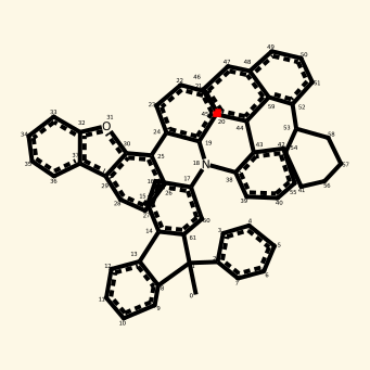 CC1(c2ccccc2)c2ccccc2-c2ccc(N(c3ccccc3-c3cccc4c3oc3ccccc34)c3ccccc3-c3cccc4cccc(C5CCCCC5)c34)cc21